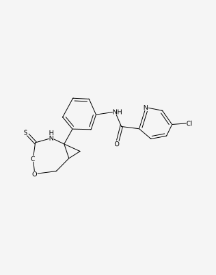 O=C(Nc1cccc(C23CC2COCC(=S)N3)c1)c1ccc(Cl)cn1